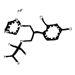 F.FC(F)C(F)(F)OCC(Cn1cncn1)c1ccc(Cl)cc1Cl